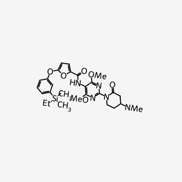 CC[Si](C)(C)c1cccc(Oc2ccc(C(=O)Nc3c(OC)nc(N4CCC(NC)CC4=O)nc3OC)o2)c1